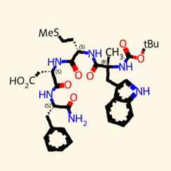 CSCC[C@H](NC(=O)[C@@](C)(Cc1c[nH]c2ccccc12)NC(=O)OC(C)(C)C)C(=O)N[C@@H](CC(=O)O)C(=O)N[C@@H](Cc1ccccc1)C(N)=O